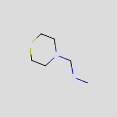 CNCN1CCSCC1